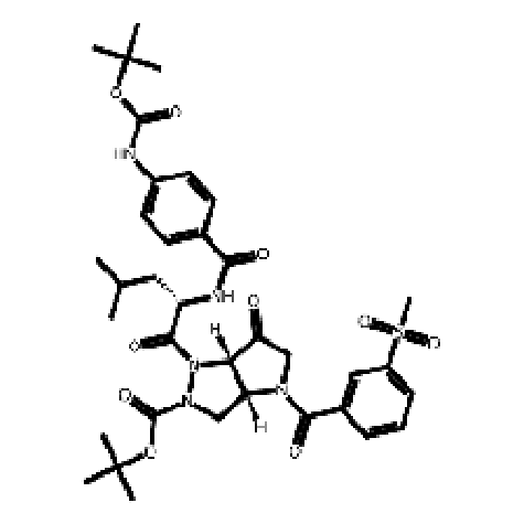 CC(C)C[C@H](NC(=O)c1ccc(NC(=O)OC(C)(C)C)cc1)C(=O)N1[C@@H]2C(=O)CN(C(=O)c3cccc(S(C)(=O)=O)c3)[C@@H]2CN1C(=O)OC(C)(C)C